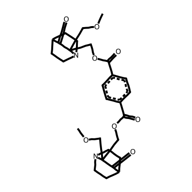 COCC1(COC(=O)c2ccc(C(=O)OCC3(COC)C(=O)C4CCN3CC4)cc2)C(=O)C2CCN1CC2